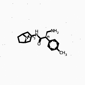 Cc1ccc([C@H](CN)C(=O)NC2CC3CCC(C2)N3C)cc1